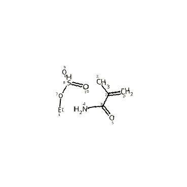 C=C(C)C(N)=O.CCO[SH](=O)=O